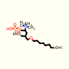 CCCCCCCCCCCCCCCCCOCC(CSC)CC(COP(=O)(O)O)[N+](C)(C)C